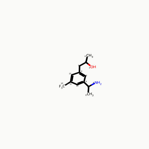 CC(O)Cc1cc(C(C)N)cc(C(F)(F)F)c1